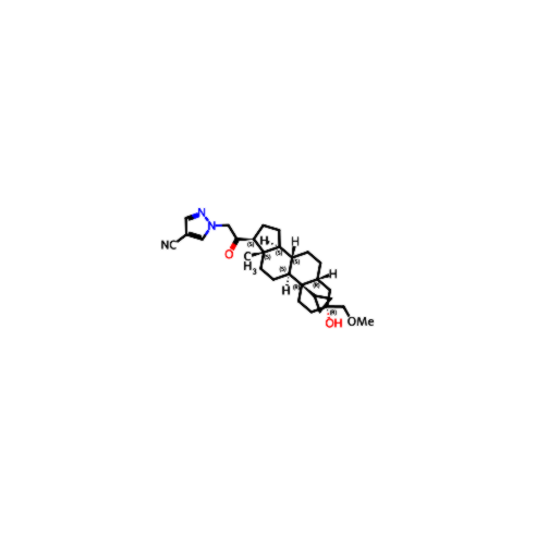 COC[C@@]1(O)CC[C@@]2(C3CC3)[C@H](CC[C@H]3[C@@H]4CC[C@H](C(=O)Cn5cc(C#N)cn5)[C@@]4(C)CC[C@@H]32)C1